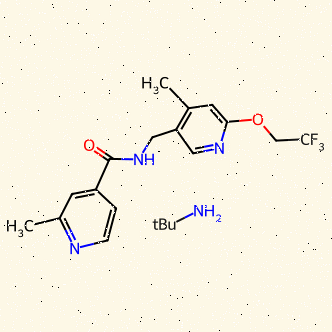 CC(C)(C)N.Cc1cc(C(=O)NCc2cnc(OCC(F)(F)F)cc2C)ccn1